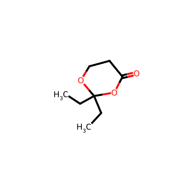 CCC1(CC)OCCC(=O)O1